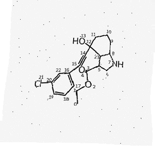 CCOC(=O)C1CNC2CCCC(O)(C#Cc3cccc(Cl)c3)C21